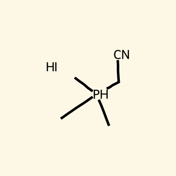 C[PH](C)(C)CC#N.I